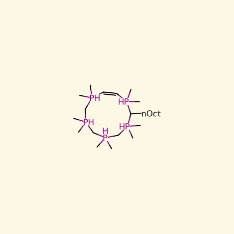 CCCCCCCCC1[PH](C)(C)C=C[PH](C)(C)C[PH](C)(C)C[PH](C)(C)C[PH]1(C)C